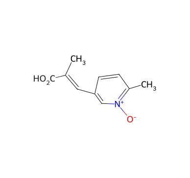 CC(=Cc1ccc(C)[n+]([O-])c1)C(=O)O